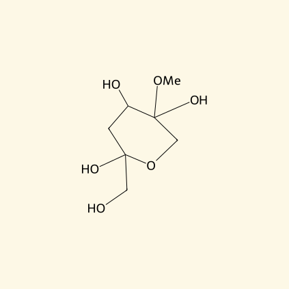 COC1(O)COC(O)(CO)CC1O